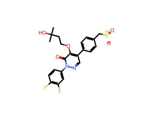 CC(C)(O)CCOc1c(-c2ccc(C[SH](=O)=O)cc2)cnn(-c2ccc(F)c(F)c2)c1=O